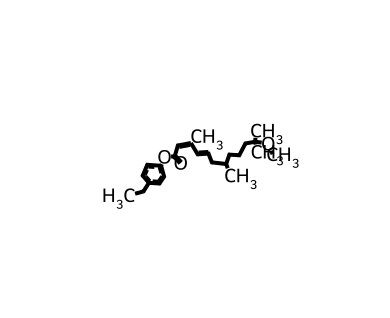 CCc1ccc(OC(=O)C=C(C)C=CCC(C)CCCC(C)(C)OC)cc1